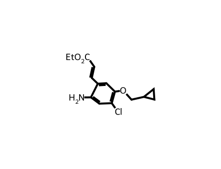 CCOC(=O)C=Cc1cc(OCC2CC2)c(Cl)cc1N